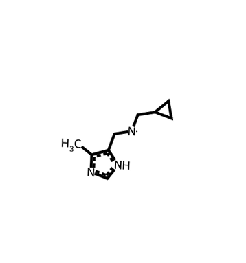 Cc1nc[nH]c1C[N]CC1CC1